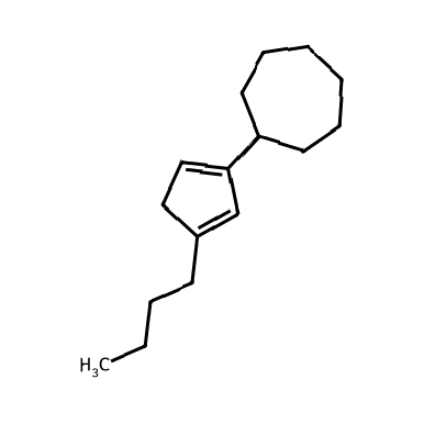 CCCCC1=CC(C2CCCCCC2)=CC1